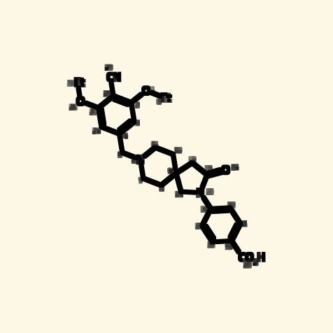 CCOc1cc(CN2CCC3(CC2)CC(=O)N(c2ccc(C(=O)O)cc2)C3)cc(OCC)c1C#N